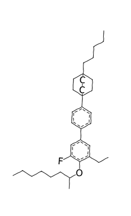 CCCCCCC(C)Oc1c(F)cc(-c2ccc(C34CCC(CCCCC)(CC3)CC4)cc2)cc1CC